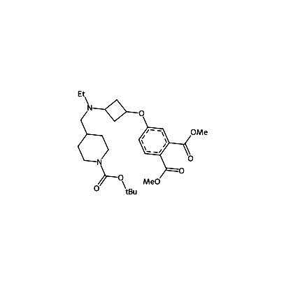 CCN(CC1CCN(C(=O)OC(C)(C)C)CC1)C1CC(Oc2ccc(C(=O)OC)c(C(=O)OC)c2)C1